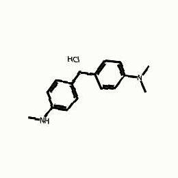 CNc1ccc(Cc2ccc(N(C)C)cc2)cc1.Cl